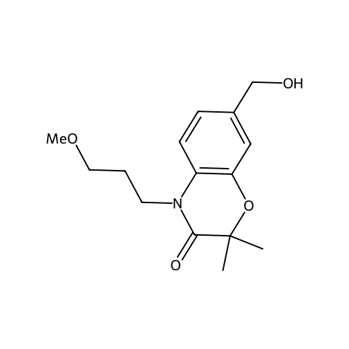 COCCCN1C(=O)C(C)(C)Oc2cc(CO)ccc21